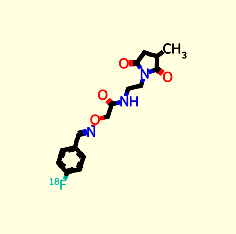 CC1CC(=O)N(CCNC(=O)CO/N=C/c2ccc([18F])cc2)C1=O